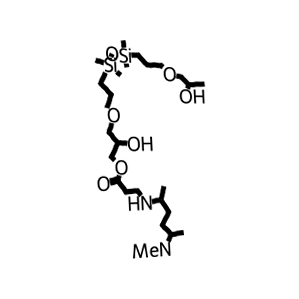 CNC(C)CCC(C)NCCC(=O)OCC(O)COCCC[Si](C)(C)O[Si](C)(C)CCCOCC(C)O